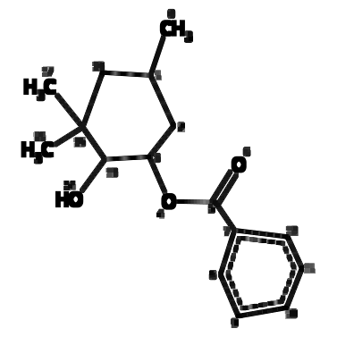 CC1CC(OC(=O)c2ccccc2)C(O)C(C)(C)C1